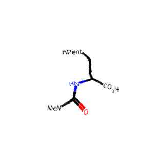 CCCCCCC(NC(=O)NC)C(=O)O